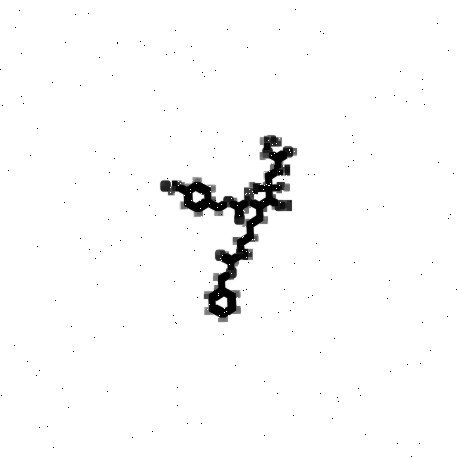 CC(C)(C)OC(=O)NCC(F)(F)C(O)C(CCCCNC(=O)OCc1ccccc1)NC(=O)OCc1ccc([N+](=O)[O-])cc1